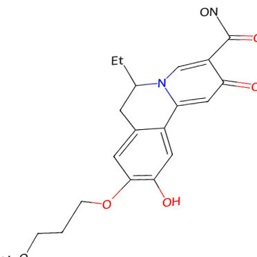 CCC1Cc2cc(OCCCOC)c(O)cc2-c2cc(=O)c(C(=O)N=O)cn21